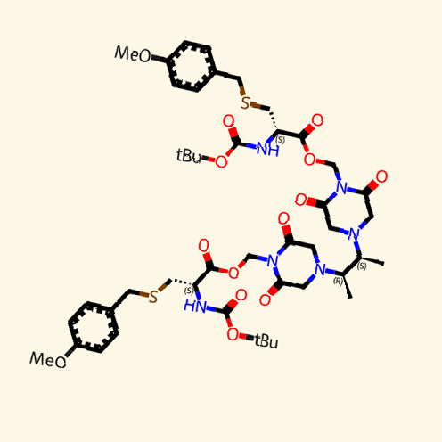 COc1ccc(CSC[C@@H](NC(=O)OC(C)(C)C)C(=O)OCN2C(=O)CN([C@H](C)[C@H](C)N3CC(=O)N(COC(=O)[C@@H](CSCc4ccc(OC)cc4)NC(=O)OC(C)(C)C)C(=O)C3)CC2=O)cc1